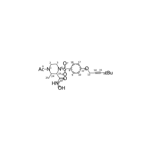 CC(=O)N1CCN(S(=O)(=O)c2ccc(OCC#CC(C)(C)C)cc2)C(C(=O)NO)C1C